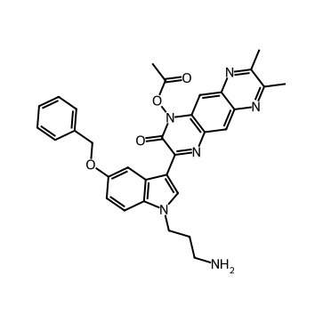 CC(=O)On1c(=O)c(-c2cn(CCCN)c3ccc(OCc4ccccc4)cc23)nc2cc3nc(C)c(C)nc3cc21